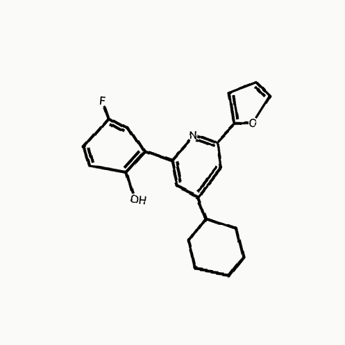 Oc1ccc(F)cc1-c1cc(C2CCCCC2)cc(-c2ccco2)n1